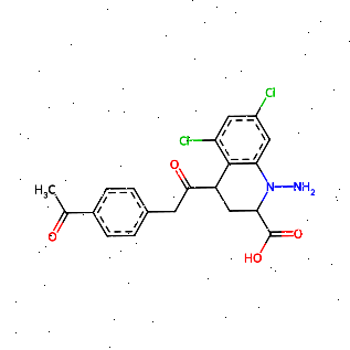 CC(=O)c1ccc(CC(=O)C2CC(C(=O)O)N(N)c3cc(Cl)cc(Cl)c32)cc1